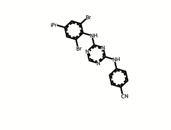 CC(C)c1cc(Br)c(Nc2ncnc(Nc3ccc(C#N)cc3)n2)c(Br)c1